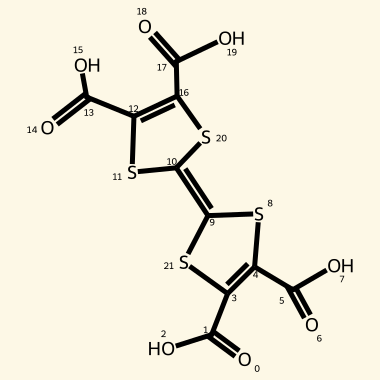 O=C(O)C1=C(C(=O)O)SC(=C2SC(C(=O)O)=C(C(=O)O)S2)S1